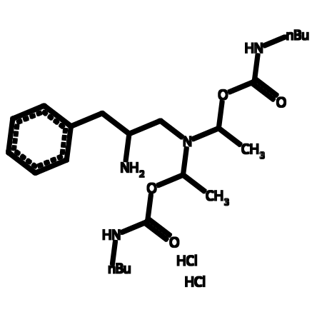 CCCCNC(=O)OC(C)N(CC(N)Cc1ccccc1)C(C)OC(=O)NCCCC.Cl.Cl